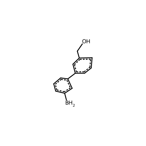 Bc1cccc(-c2cccc(CO)c2)c1